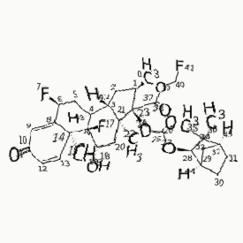 C[C@@H]1C[C@H]2[C@@H]3C[C@H](F)C4=CC(=O)C=C[C@]4(C)[C@@]3(F)[C@@H](O)C[C@]2(C)[C@@]1(OC(=O)O[C@@H]1[C@@H]2CC[C@@H](C2)C1(C)C)C(=O)OCF